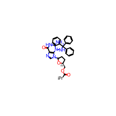 CC(C)C(=O)OC[C@@H]1CC[C@H](n2cnc3c2N(NC(c2ccccc2)(c2ccccc2)c2ccccc2)C(N)NC3=O)O1